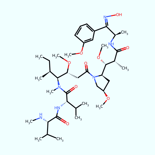 CC[C@H](C)[C@@H]([C@@H](CC(=O)N1C[C@H](OC)C[C@@H]1[C@H](OC)[C@@H](C)C(=O)N[C@H](C)/C(=N\O)c1cccc(OC)c1)OC)N(C)C(=O)[C@@H](NC(=O)[C@@H](NC)C(C)C)C(C)C